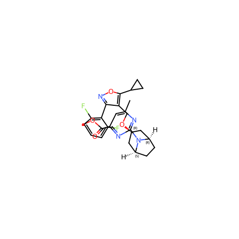 COC(=O)c1cc(C)nc(N2[C@@H]3CC[C@H]2C[C@@H](OCc2c(-c4c(F)cccc4F)noc2C2CC2)C3)n1